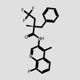 Cc1c(NC(=O)[C@@](C)(Cc2ccccc2)CC(F)(F)F)cnc2c(F)cccc12